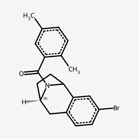 Cc1ccc(C)c(C(=O)N2C3CC[C@@H]2Cc2ccc(Br)cc23)c1